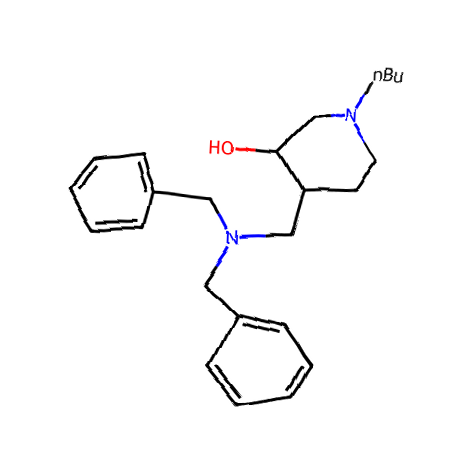 CCCCN1CCC(CN(Cc2ccccc2)Cc2ccccc2)C(O)C1